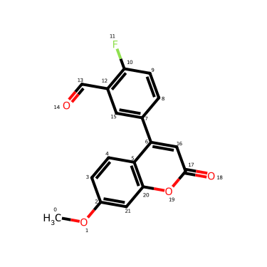 COc1ccc2c(-c3ccc(F)c(C=O)c3)cc(=O)oc2c1